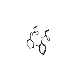 C=CC(=O)OC1CCCCC1.C=CC(=O)Oc1ccccc1C